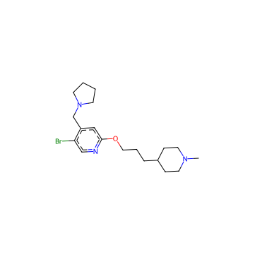 CN1CCC(CCCOc2cc(CN3CCCC3)c(Br)cn2)CC1